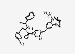 Nc1ncnc2cc(CN3CCN(C(=O)C(Cc4ccc(Cl)s4)NC(=O)c4ccccc4)CC3=O)ccc12